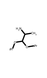 CC(C)OC(OC(C)C)C(C)N